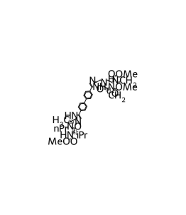 C=C[C@H](NC(=O)OC)C(=O)N(CCN(C=C)C(=O)OC)Cc1ncc(-c2ccc(-c3ccc(-c4cnc([C@H](C)N(CCC)C(=O)[C@@H](NC(=O)OC)C(C)C)[nH]4)cc3)cc2)[nH]1